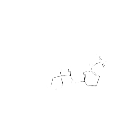 CCS(=O)(=O)Nc1cccc(NC(=O)C(C)(CO)CO)c1